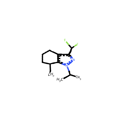 CC1CCCc2c(C(F)F)nn(C(C)C)c21